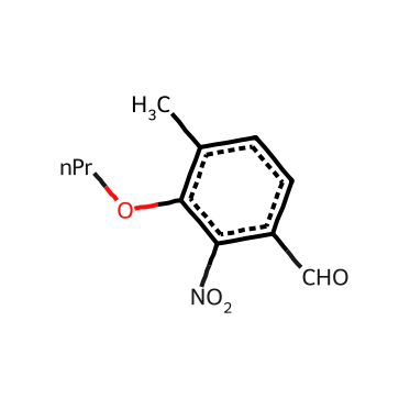 CCCOc1c(C)ccc(C=O)c1[N+](=O)[O-]